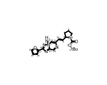 CC(C)(C)OC(=O)N1CCCC1C=CC1=C[N+]2(N)N=C(c3ccco3)N=C2C=N1